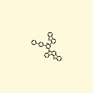 c1ccc(-c2ccc(-c3cc(-n4c5ccccc5c5c6oc7ccccc7c6ccc54)cc(-c4cccc5c4sc4ccccc45)n3)cc2)cc1